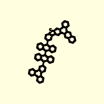 c1ccc2cc3c(cc2c1)c1ccccc1c1cc2sc4ccc(-c5c6ccccc6c(-c6c7ccccc7c(-c7ccc8c9ccccc9c9ccccc9c8c7)c7ccccc67)c6ccccc56)cc4c2cc31